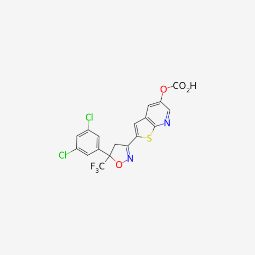 O=C(O)Oc1cnc2sc(C3=NOC(c4cc(Cl)cc(Cl)c4)(C(F)(F)F)C3)cc2c1